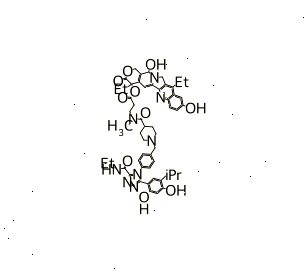 CCNC(=O)c1nnc(-c2cc(C(C)C)c(O)cc2O)n1-c1ccc(CN2CCC(C(=O)N(C)CCC(=O)OC3(CC)C(=O)OCC4=C3C=C3c5nc6ccc(O)cc6c(CC)c5CN3C4O)CC2)cc1